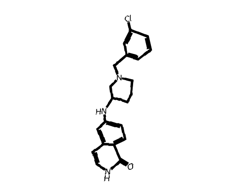 O=c1[nH]ccc2cc(NC3CCCN(Cc4cccc(Cl)c4)C3)ccc12